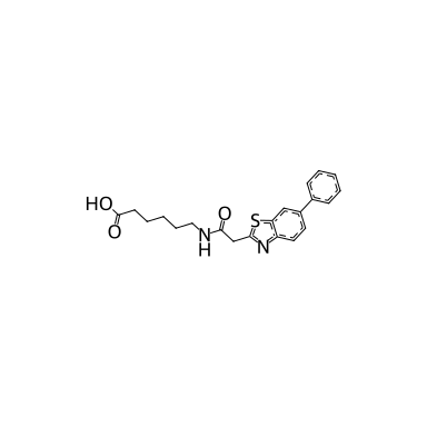 O=C(O)CCCCCNC(=O)Cc1nc2ccc(-c3ccccc3)cc2s1